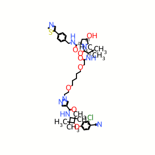 CC(C)(C)[C@H](NC(=O)COCCCCCOCCn1cc(C(=O)N[C@H]2C(C)(C)[C@H](Oc3ccc(C#N)c(Cl)c3)C2(C)C)cn1)C(=O)N1C[C@H](O)C[C@H]1C(=O)NCc1ccc(-c2cncs2)cc1